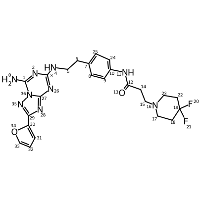 Nc1nc(NCCc2ccc(NC(=O)CCN3CCC(F)(F)CC3)cc2)nc2nc(-c3ccco3)nn12